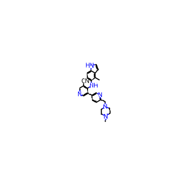 Cc1c(Nc2c(C#N)cncc2-c2ccc(CN3CCN(C)CC3)nc2)ccc2[nH]ccc12